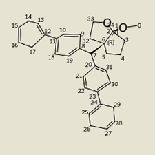 CO[C@@]12CCC[C@]1(C(c1ccc(C3=CCC=CC3)cc1)c1ccc(C3=CCC=CC3)cc1)CCO2